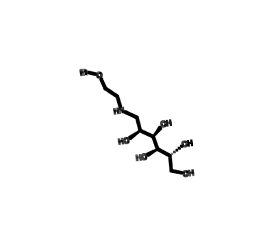 CCOCCNC[C@H](O)[C@@H](O)[C@H](O)[C@H](O)CO